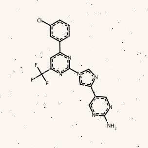 Nc1ncc(-c2cn(-c3nc(-c4cccc(Cl)c4)cc(C(F)(F)F)n3)cn2)cn1